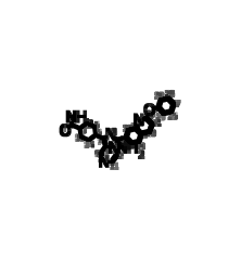 NC(=O)C1CCC(C2=C3C=NC=C[N+]3(N)C(c3ccc4ccc(Oc5ccccc5)nc4c3)=N2)CC1